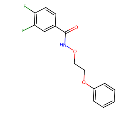 O=C(NOCCOc1ccccc1)c1ccc(F)c(F)c1